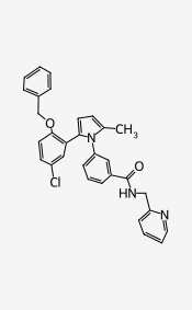 Cc1ccc(-c2cc(Cl)ccc2OCc2ccccc2)n1-c1cccc(C(=O)NCc2ccccn2)c1